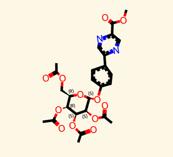 COC(=O)c1cnc(-c2ccc(O[C@@H]3O[C@H](COC(C)=O)[C@@H](OC(C)=O)[C@H](OC(C)=O)[C@@H]3OC(C)=O)cc2)cn1